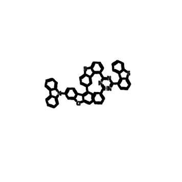 N=C(/N=C(\N=C\c1ccccc1)c1cccc2sc3ccc(-c4cccc5oc6cc(-n7c8ccccc8c8ccccc87)ccc6c45)cc3c12)c1cccc2sc3ccccc3c12